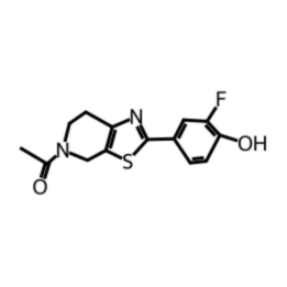 CC(=O)N1CCc2nc(-c3ccc(O)c(F)c3)sc2C1